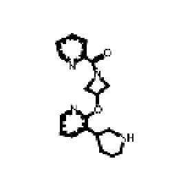 O=C(c1ccccn1)N1CC(Oc2ncccc2C2CCCNC2)C1